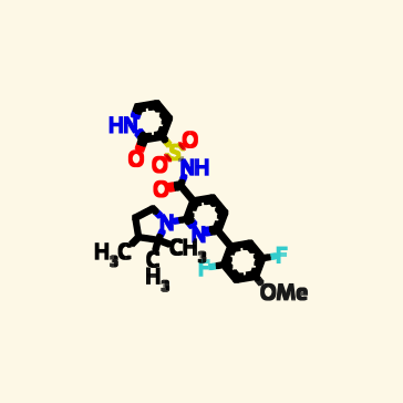 COc1cc(F)c(-c2ccc(C(=O)NS(=O)(=O)c3ccc[nH]c3=O)c(N3CCC(C)C3(C)C)n2)cc1F